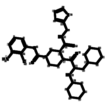 Nc1cccc(OC(=O)N2CCN(C(=O)C(CC3CCCCC3)NC3CCCCC3)[C@H](C(=O)NCc3cccs3)C2)c1Cl